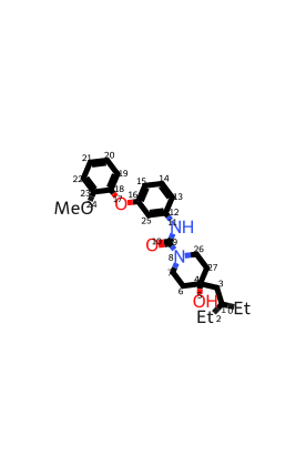 CCC(CC)CC1(O)CCN(C(=O)Nc2cccc(Oc3ccccc3OC)c2)CC1